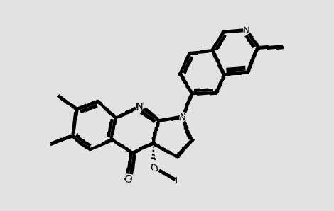 Cc1cc2cc(N3CC[C@@]4(OI)C(=O)c5cc(C)c(C)cc5N=C34)ccc2cn1